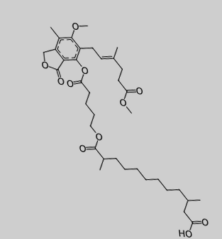 COC(=O)CC/C(C)=C/Cc1c(OC)c(C)c2c(c1OC(=O)CCCCOC(=O)C(C)CCCCCCCC(C)CC(=O)O)C(=O)OC2